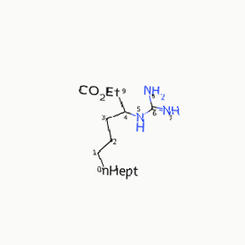 CCCCCCCCCCC(NC(=N)N)C(=O)OCC